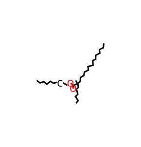 CCCCCCCCCCCCCCC(C)(CCCCCC)C(=O)OCCCCCCCCCC